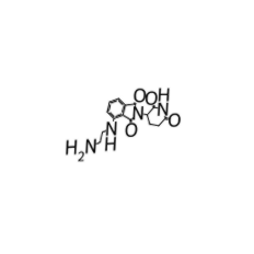 NCCNc1cccc2c1C(=O)N(C1CCC(=O)NC1=O)C2=O